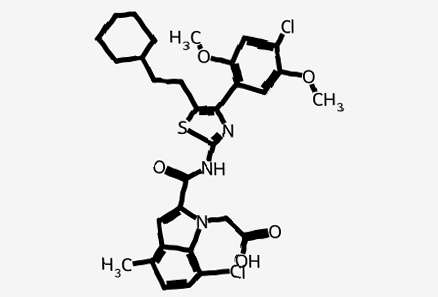 COc1cc(-c2nc(NC(=O)c3cc4c(C)ccc(Cl)c4n3CC(=O)O)sc2CCC2CCCCC2)c(OC)cc1Cl